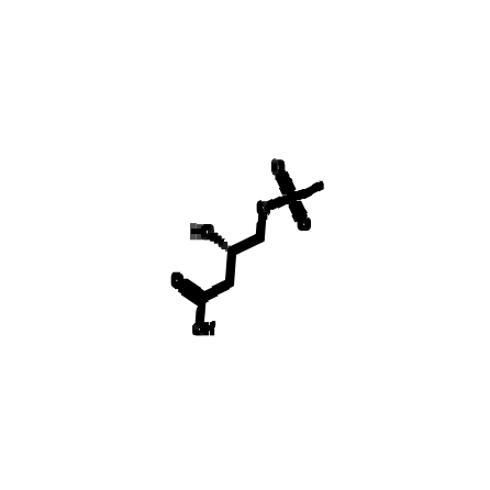 CS(=O)(=O)OC[C@@H](O)CC(=O)O